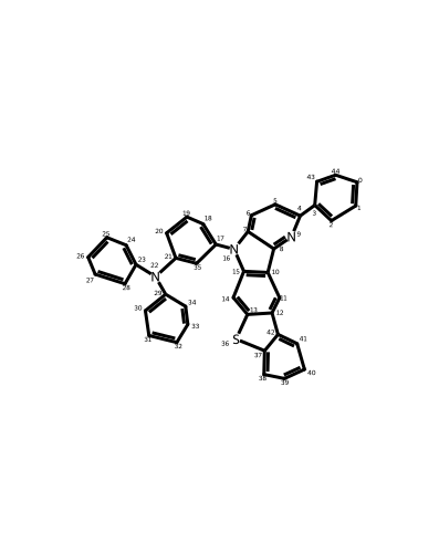 c1ccc(-c2ccc3c(n2)c2cc4c(cc2n3-c2cccc(N(c3ccccc3)c3ccccc3)c2)sc2ccccc24)cc1